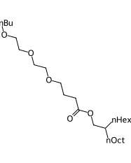 CCCCCCCCC(CCCCCC)COC(=O)CCCOCCOCCOCCCC